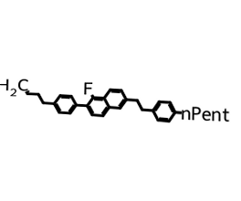 C=CCCc1ccc(-c2ccc3cc(CCc4ccc(CCCCC)cc4)ccc3c2F)cc1